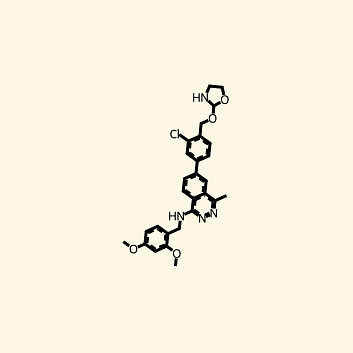 COc1ccc(CNc2nnc(C)c3cc(-c4ccc(COC5NCCO5)c(Cl)c4)ccc23)c(OC)c1